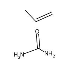 C=CC.NC(N)=O